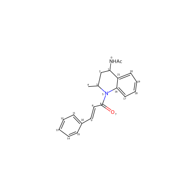 CC(=O)NC1CC(C)N(C(=O)C=Cc2ccccc2)c2ccccc21